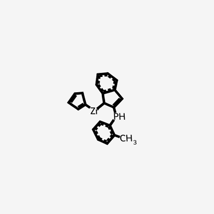 Cc1ccccc1PC1=Cc2ccccc2[CH]1[Zr][C]1=CC=CC1